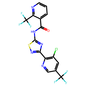 O=C(Nc1nc(-c2ncc(C(F)(F)F)cc2Cl)ns1)c1cccnc1C(F)(F)F